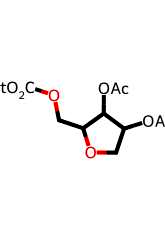 CCOC(=O)OCC1OCC(OC(C)=O)C1OC(C)=O